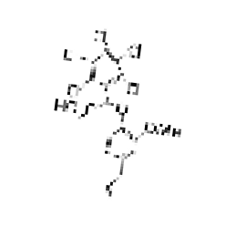 C=CCc1ccc(OC(C(=O)O)c2c(Cl)c(Cl)c(Cl)c(Cl)c2Cl)c(OC)c1